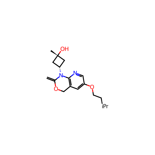 C=C1OCc2cc(OCCC(C)C)cnc2N1[C@H]1C[C@@](C)(O)C1